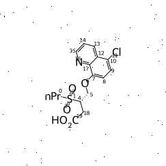 CCCS(=O)(=O)[C@H](COc1ccc(Cl)c2cccnc12)CC(=O)O